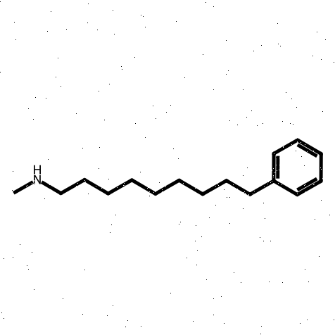 CNCCCCCCCCCc1ccccc1